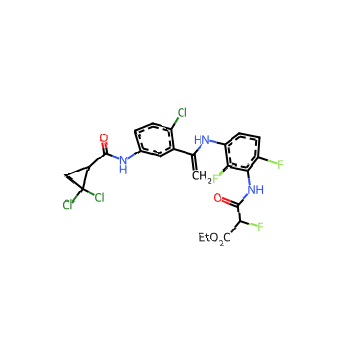 C=C(Nc1ccc(F)c(NC(=O)C(F)C(=O)OCC)c1F)c1cc(NC(=O)C2CC2(Cl)Cl)ccc1Cl